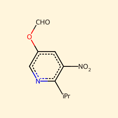 CC(C)c1ncc(OC=O)cc1[N+](=O)[O-]